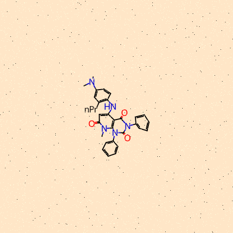 CCCc1cc(N(C)C)ccc1Nc1cc(=O)n(C)c2c1c(=O)n(-c1ccccc1)c(=O)n2-c1ccccc1